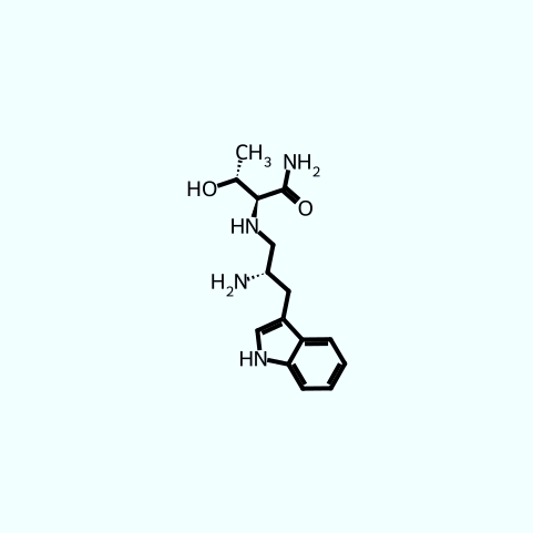 C[C@@H](O)[C@H](NC[C@@H](N)Cc1c[nH]c2ccccc12)C(N)=O